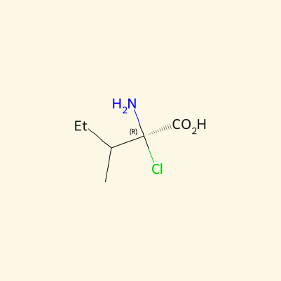 CCC(C)[C@@](N)(Cl)C(=O)O